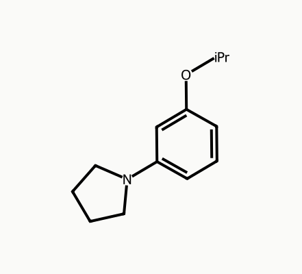 CC(C)Oc1cccc(N2CCCC2)c1